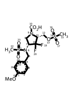 COc1ccc(CN([C@@H]2CN(C(=O)O)[C@H](COS(C)(=O)=O)C2(F)F)S(C)(=O)=O)cc1